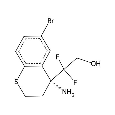 N[C@]1(C(F)(F)CO)CCSc2ccc(Br)cc21